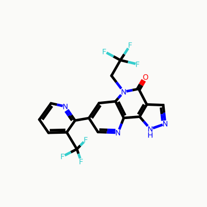 O=c1c2cn[nH]c2c2ncc(-c3ncccc3C(F)(F)F)cc2n1CC(F)(F)F